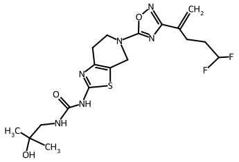 C=C(CCC(F)F)c1noc(N2CCc3nc(NC(=O)NCC(C)(C)O)sc3C2)n1